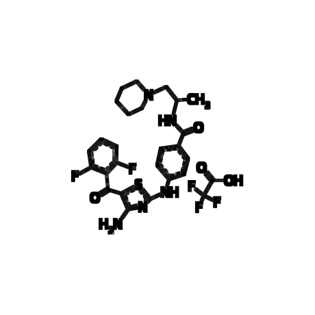 CC(CN1CCCCC1)NC(=O)c1ccc(Nc2nc(N)c(C(=O)c3c(F)cccc3F)s2)cc1.O=C(O)C(F)(F)F